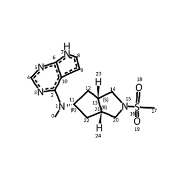 CN(c1ncnc2[nH]ccc12)[C@@H]1C[C@@H]2CN(S(C)(=O)=O)C[C@@H]2C1